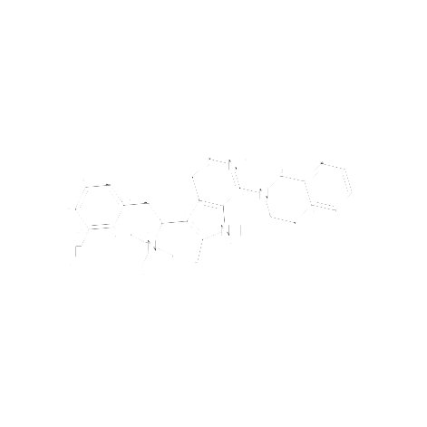 Cc1[nH]c2c(N3CCc4ccccc4C3)nccc2c1C(Cc1cccc(F)c1)[N+](C)(C)C